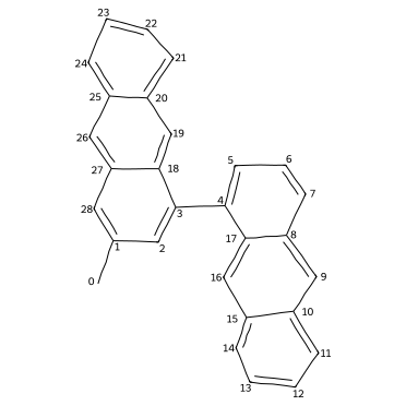 Cc1cc(-c2cccc3cc4ccccc4cc23)c2cc3ccccc3cc2c1